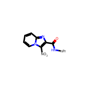 CCCNC(=O)c1nc2ccccn2c1[N+](=O)[O-]